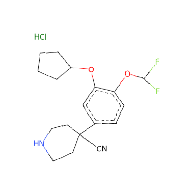 Cl.N#CC1(c2ccc(OC(F)F)c(OC3CCCC3)c2)CCNCC1